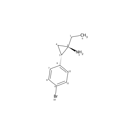 CC[C@@]1(N)C[C@H]1c1ccc(Br)cc1